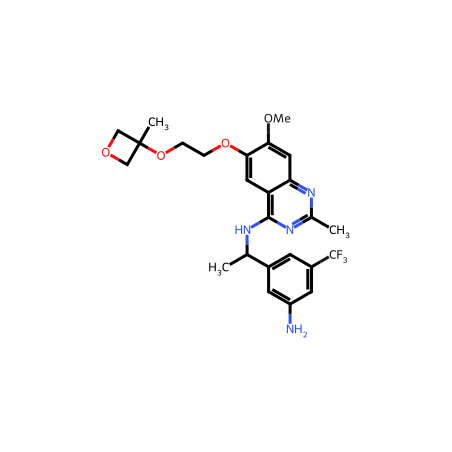 COc1cc2nc(C)nc(NC(C)c3cc(N)cc(C(F)(F)F)c3)c2cc1OCCOC1(C)COC1